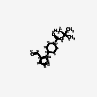 CC(C)(C)OC(=O)N1CCC(n2nccc2C=O)CC1